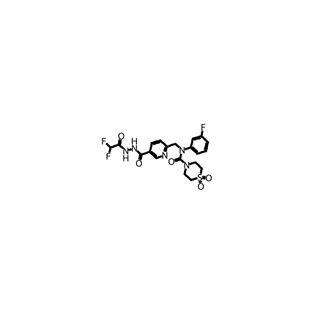 O=C(NNC(=O)C(F)F)c1ccc(CN(C(=O)N2CCS(=O)(=O)CC2)c2cccc(F)c2)nc1